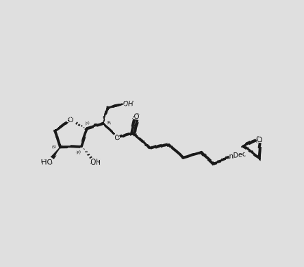 C1CO1.CCCCCCCCCCCCCCCC(=O)O[C@H](CO)[C@H]1OC[C@H](O)[C@H]1O